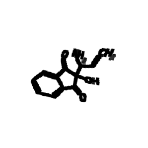 C=CC(N)C1(O)C(=O)c2ccccc2C1=O